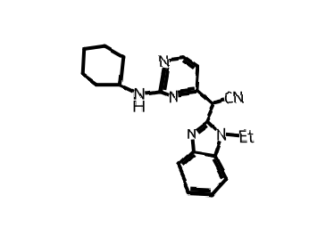 CCn1c(C(C#N)c2ccnc(NC3CCCCC3)n2)nc2ccccc21